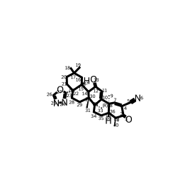 C[C@@H]1C(=O)C(C#N)=C[C@]2(C)C3=CC(=O)C4[C@H]5CC(C)(C)CC[C@]5(c5nnco5)CC[C@@]4(C)[C@]3(C)CC[C@@H]12